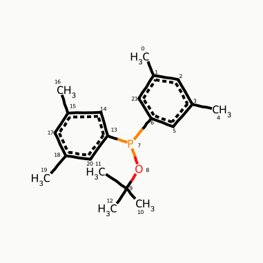 Cc1cc(C)cc(P(OC(C)(C)C)c2cc(C)cc(C)c2)c1